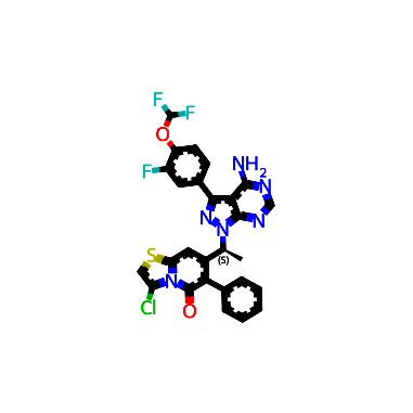 C[C@@H](c1cc2scc(Cl)n2c(=O)c1-c1ccccc1)n1nc(-c2ccc(OC(F)F)c(F)c2)c2c(N)ncnc21